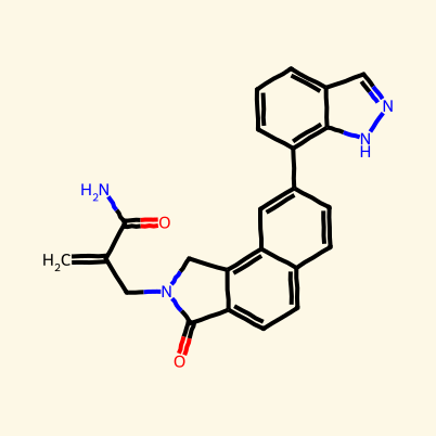 C=C(CN1Cc2c(ccc3ccc(-c4cccc5cn[nH]c45)cc23)C1=O)C(N)=O